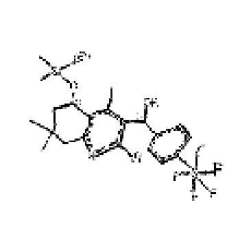 CC(C)c1nc2c(c(I)c1[C@@H](O)c1ccc(S(F)(F)(F)(F)F)cc1)[C@@H](O[Si](C)(C)C(C)(C)C)CC(C)(C)C2